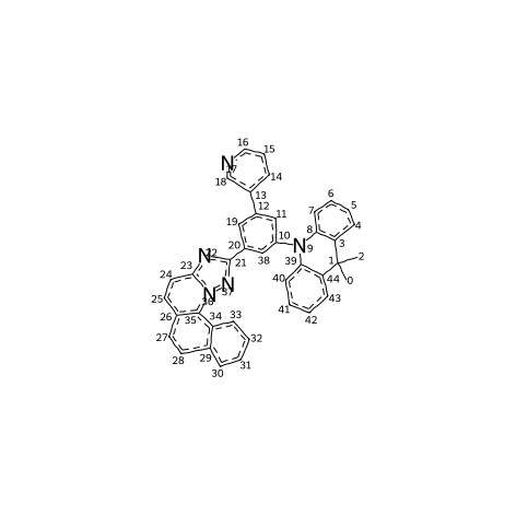 CC1(C)c2ccccc2N(c2cc(-c3cccnc3)cc(-c3nc4ccc5ccc6ccccc6c5n4n3)c2)c2ccccc21